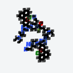 CCN(CC)C1CN(c2nc3c(c(N4CCN(C(=O)/C(F)=C/CCN(CC)C5CN(c6nc7c(c(N8CCN[C@@H](CC#N)C8)n6)COC(c6cccc8cccc(Cl)c68)C7)C5)[C@@H](CC#N)C4)n2)COC(c2cccc4cccc(Cl)c24)C3)C1